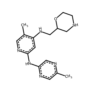 Cc1cnc(Nc2cc(NCC3CNCCO3)c(C)cn2)cn1